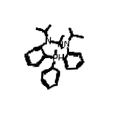 CC(C)Nc1ccccc1[PH](C)(c1ccccc1)c1ccccc1N(C(C)C)C(C)C